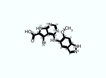 COc1cc2[nH]ncc2cc1Nc1ncnc2[nH]c(C(=O)O)c(Br)c12